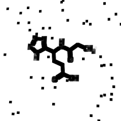 [CH2]CC(=O)NC(CCC(=O)O)c1nnn[nH]1